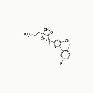 CC(C)(CCC(=O)O)C(=O)Nc1nc(-c2cc(F)ccc2F)c(C#N)s1